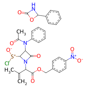 C=C(C)C(C(=O)OCc1ccc([N+](=O)[O-])cc1)N1C(=O)C(N(C(C)=O)c2ccccc2)C1[S+]([O-])Cl.O=C1NC(c2ccccc2)O1